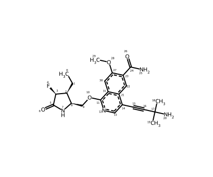 CC[C@@H]1[C@H](F)C(=O)N[C@@H]1COc1ncc(C#CC(C)(C)N)c2cc(C(N)=O)c(OC)cc12